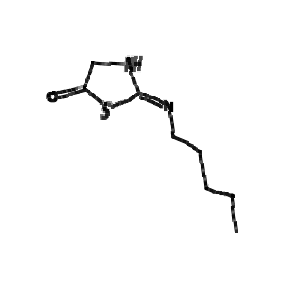 CCCCC/N=C1/NCC(=O)S1